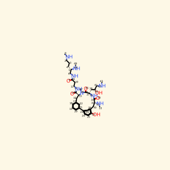 CNCCC[C@@H](CNC(=O)CCNC(=O)[C@@H]1Cc2cccc(c2)-c2ccc(O)c(c2)C[C@H](NC)C(=O)N[C@@H](C[C@@H](O)CNC)C(=O)N1C)NC